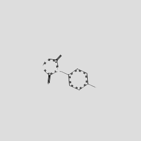 O=c1ssc(=O)n1-c1ccc(Cl)cc1